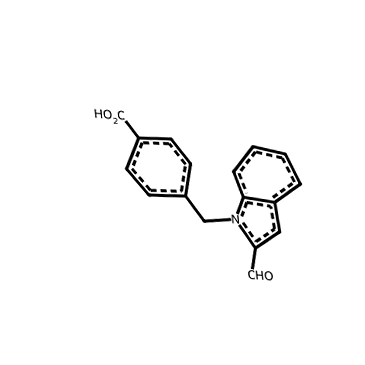 O=Cc1cc2ccccc2n1Cc1ccc(C(=O)O)cc1